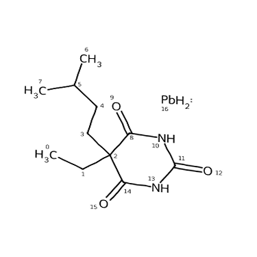 CCC1(CCC(C)C)C(=O)NC(=O)NC1=O.[PbH2]